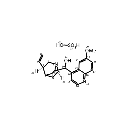 C=C[C@H]1CN2CCC1C[C@@H]2[C@@H](O)c1ccnc2ccc(OC)cc12.O=S(=O)(O)O